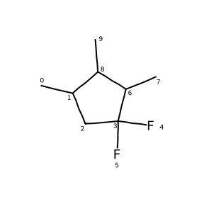 CC1CC(F)(F)C(C)C1C